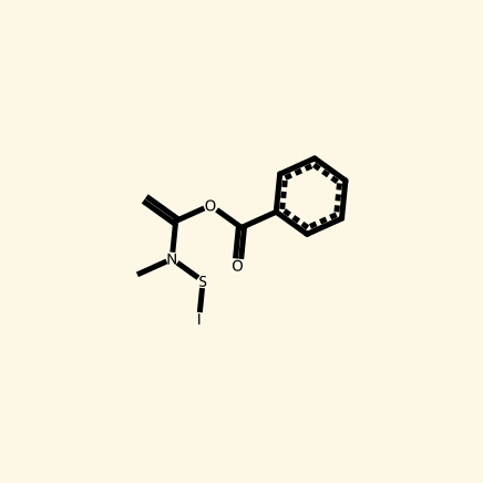 C=C(OC(=O)c1ccccc1)N(C)SI